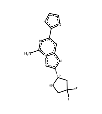 Nc1nc(-c2ncco2)cc2nc([C@@H]3CC(F)(F)CN3)nn12